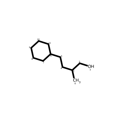 CC(CO)CCC1CCCCC1